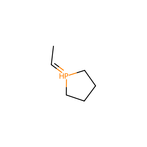 CC=[PH]1CCCC1